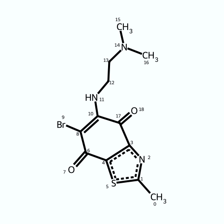 Cc1nc2c(s1)C(=O)C(Br)=C(NCCN(C)C)C2=O